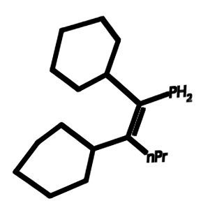 CCCC(=C(P)C1CCCCC1)C1CCCCC1